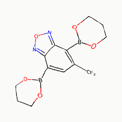 FC(F)(F)c1cc(B2OCCCO2)c2nonc2c1B1OCCCO1